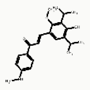 CNc1ccc(C(=O)C=Cc2cc(C(C)C)c(O)c(C(C)C)c2OC)cc1